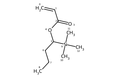 C=CC(=O)OC(CCC)[Si](C)(C)C